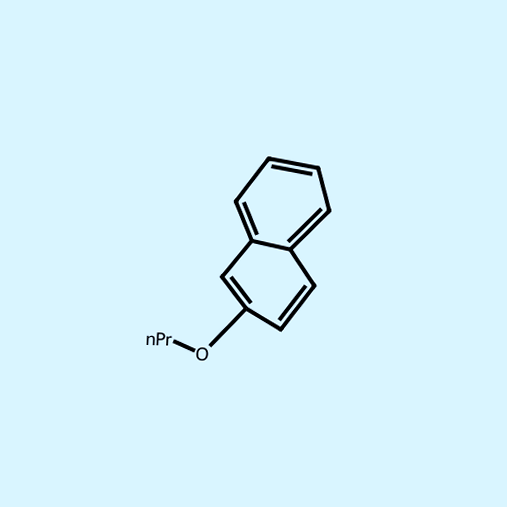 CCCOc1ccc2ccccc2c1